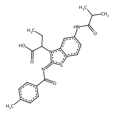 CCC(C(=O)O)n1c(=NC(=O)c2ccc(C)cc2)sc2ccc(NC(=O)C(C)C)cc21